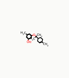 CC1=CCC(C(C)(C)Oc2cc(C)cc(O)c2)CC1